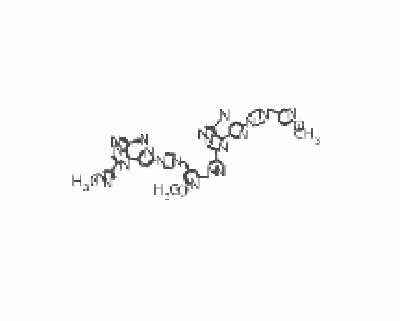 COc1ccc(CN2CCN(c3ccc(-c4nc(-c5cnn(Cc6cc(CN7CCN(c8ccc(-c9nc(-c%10cnn(C)c%10)cn%10ncc(C#N)c9%10)cn8)CC7)cc(OC)n6)c5)cn5ncc(C#N)c45)cn3)CC2)cn1